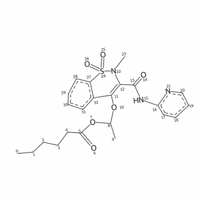 CCCCCC(=O)OC(C)OC1=C(C(=O)Nc2ccccn2)N(C)S(=O)(=O)c2ccccc21